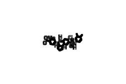 COC(=O)c1ccc([C@@H]2Nc3cc(Cl)c(S(=O)(=O)Nc4ccc(C)c(C)c4)cc3[C@H]3C=CC[C@H]32)cc1